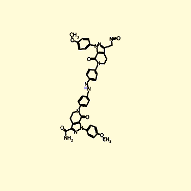 COc1ccc(-n2nc(CN=O)c3c2C(=O)N(c2ccc(/N=N/c4ccc(N5CCc6c(C(N)=O)nn(-c7ccc(OC)cc7)c6C5=O)cc4)cc2)CC3)cc1